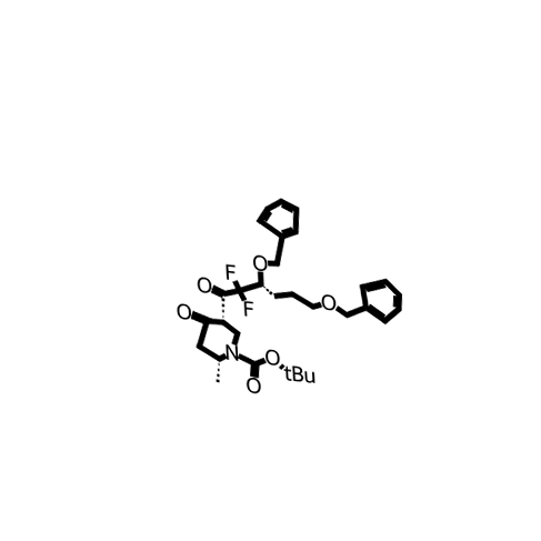 C[C@@H]1CC(=O)[C@H](C(=O)C(F)(F)[C@@H](CCCOCc2ccccc2)OCc2ccccc2)CN1C(=O)OC(C)(C)C